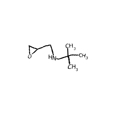 CC(C)(C)NCC1CO1